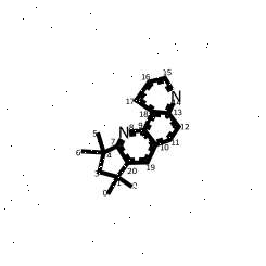 CC1(C)CC(C)(C)c2nc3c(ccc4ncccc43)cc21